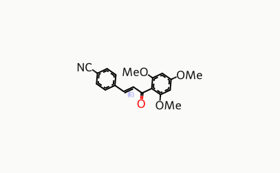 COc1cc(OC)c(C(=O)/C=C/c2ccc(C#N)cc2)c(OC)c1